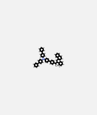 CC(c1ccc(-c2ccc(N(c3ccc(-c4ccccc4)cc3)c3ccc(-c4ccccc4)cc3)cc2)cc1)C(Cc1cccc2ccccc12)c1ccccc1